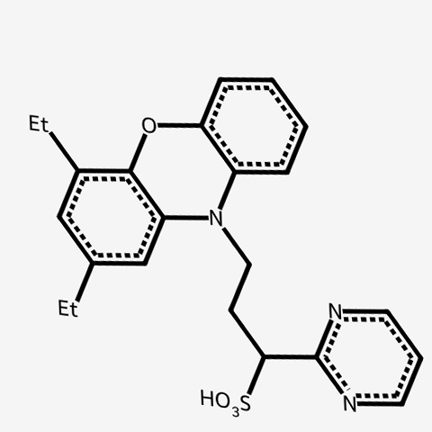 CCc1cc(CC)c2c(c1)N(CCC(c1ncccn1)S(=O)(=O)O)c1ccccc1O2